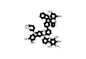 C#C/C=C\C(=C/C)n1c2cc(C)c(N(c3cccc(-c4ccc5c(c4)C4(c6ccccc6Sc6c(O)cc(O)cc64)c4ccc6ccccc6c4-5)c3)c3cccc4c3oc3c(O)c(O)c(C)c(O)c34)cc2c2cc(O)c(O)cc21